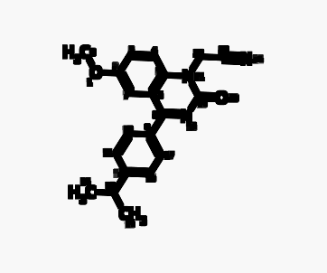 COc1ccc2c(c1)c(-c1ccc(C(C)C)cc1)nc(=O)n2CC#N